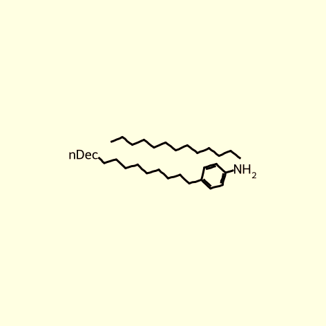 CCCCCCCCCCCCC.CCCCCCCCCCCCCCCCCCCc1ccc(N)cc1